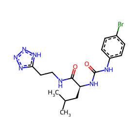 CC(C)C[C@H](NC(=O)Nc1ccc(Br)cc1)C(=O)NCCc1nnn[nH]1